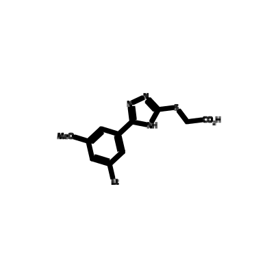 CCc1cc(OC)cc(-c2nnc(SCC(=O)O)[nH]2)c1